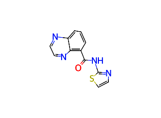 O=C(Nc1nccs1)c1cccc2nccnc12